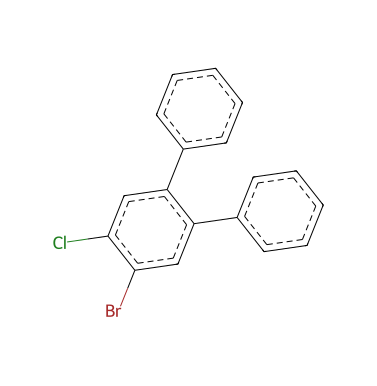 Clc1cc(-c2ccccc2)c(-c2ccccc2)cc1Br